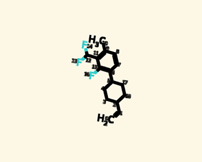 C=CC1CCC(c2ccc(C)c(C(F)F)c2F)CC1